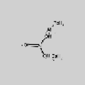 O=[Si](O)O.[AlH3].[BaH2].[PbH2]